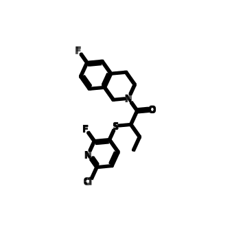 CCC(Sc1ccc(Cl)nc1F)C(=O)N1CCc2cc(F)ccc2C1